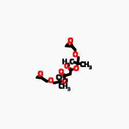 CC(C)(COCC1CO1)OC(=O)CC(=O)OC(C)(C)COCC1CO1